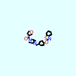 O=C([C@H]1CCOC1)N1CC2CC1CN2Cc1ccc(Oc2nc3ccccc3s2)cc1